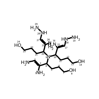 N/C=C(\N)C(CCCO)N(C(CCCO)/C(N)=C/NN)C(CCCO)/C(N)=C/NN